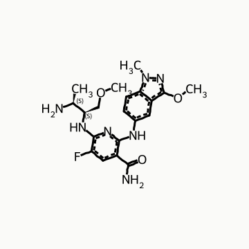 COC[C@@H](Nc1nc(Nc2ccc3c(c2)c(OC)nn3C)c(C(N)=O)cc1F)[C@H](C)N